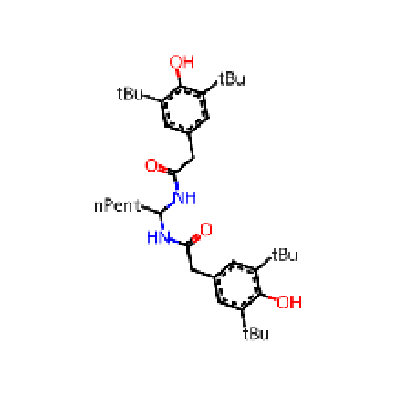 CCCCCC(NC(=O)Cc1cc(C(C)(C)C)c(O)c(C(C)(C)C)c1)NC(=O)Cc1cc(C(C)(C)C)c(O)c(C(C)(C)C)c1